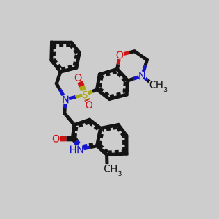 Cc1cccc2cc(CN(Cc3ccccc3)S(=O)(=O)c3ccc4c(c3)OCCN4C)c(=O)[nH]c12